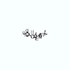 COC1CC(C2CCC3C(=O)N(C4CN(CC(F)(F)F)C=N4)[C@H](C)C3N2)C=NC1OC